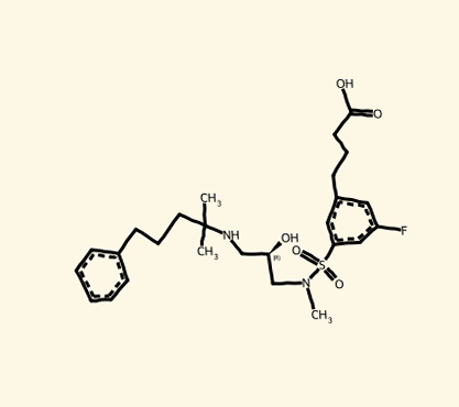 CN(C[C@H](O)CNC(C)(C)CCCc1ccccc1)S(=O)(=O)c1cc(F)cc(CCCC(=O)O)c1